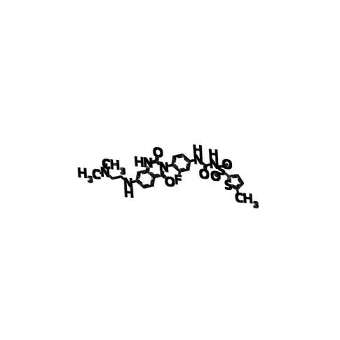 Cc1ccc(S(=O)(=O)NC(=O)Nc2ccc(-n3c(=O)[nH]c4cc(NCCN(C)C)ccc4c3=O)c(F)c2)s1